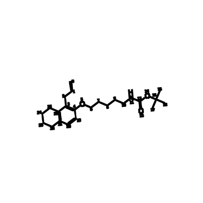 C=CCc1c(OCCCCCNC(=O)OC(C)(C)C)ccc2c1CCCC2